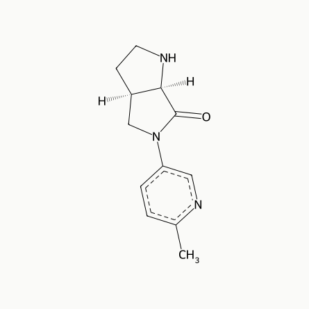 Cc1ccc(N2C[C@H]3CCN[C@H]3C2=O)cn1